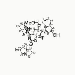 COCCc1cccc2cc(O)cc(-c3c(F)cc4c(N5CC6CCC(C5)N6)nc(OCC56CCCN5CC(F)C6)nc4c3F)c12